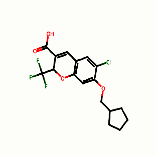 O=C(O)C1=Cc2cc(Cl)c(OCC3CCCC3)cc2OC1C(F)(F)F